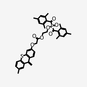 C=C1c2ccc(OCC(=O)OCCOP(=O)(C(=O)c3c(C)cc(C)cc3C)C(=O)c3c(C)cc(C)cc3C)cc2Sc2ccc(C)cc21